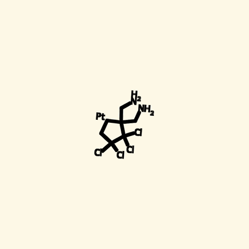 NCC1(CN)CCC(Cl)(Cl)C1(Cl)Cl.[Pt]